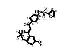 COc1ccc2c(c1)C(=CC(=O)c1ccc(NS(=O)(=O)c3ccco3)cc1)NC(C)(C)C2